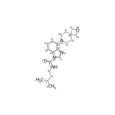 CC(C)CCNC(=O)n1cnc2c(N3CCC4(CC3)COC4)cccc21